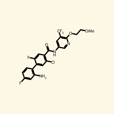 COCCOc1ncc(NC(=O)c2cc(F)c(-c3ccc(F)cc3N)cc2Cl)cc1C(F)(F)F